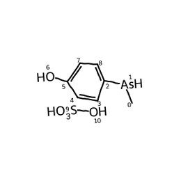 C[AsH]c1ccc(O)cc1.O=S(=O)(O)O